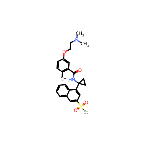 CCS(=O)(=O)c1cc(C2(NC(=O)c3cc(OCCN(C)C)ccc3C)CC2)c2ccccc2c1